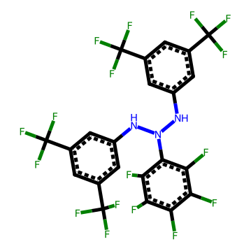 Fc1c(F)c(F)c(N(Nc2cc(C(F)(F)F)cc(C(F)(F)F)c2)Nc2cc(C(F)(F)F)cc(C(F)(F)F)c2)c(F)c1F